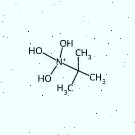 CC(C)(C)[N+](O)(O)O